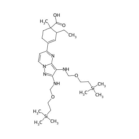 CCC1C=C(c2ccn3nc(NCOCC[Si](C)(C)C)c(NCOCC[Si](C)(C)C)c3n2)CCC1(C)C(=O)O